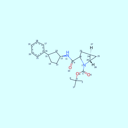 CC(C)(C)OC(=O)N1C(C(=O)N[C@H]2CCC(c3ccccc3)C2)C[C@H]2C[C@@H]21